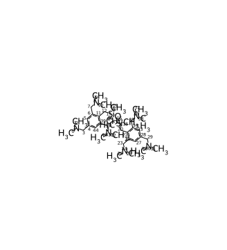 CN(C)Cc1cc(CN(C)C)c(C[Si](C)(C)O[Si](C)(C)Cc2c(CN(C)C)cc(CN(C)C)cc2CN(C)C)c(CN(C)C)c1